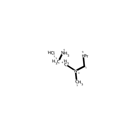 CCCCN(C)C.CN.Cl